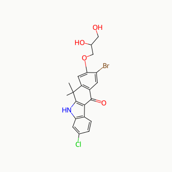 CC1(C)c2cc(OCC(O)CO)c(Br)cc2C(=O)c2c1[nH]c1cc(Cl)ccc21